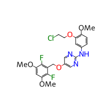 COc1ccc(Nc2ncc(OCc3c(F)c(OC)cc(OC)c3F)cn2)cc1OCCCl